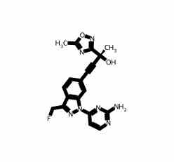 Cc1nc([C@](C)(O)C#Cc2ccc3c(CF)nn(-c4ccnc(N)n4)c3c2)no1